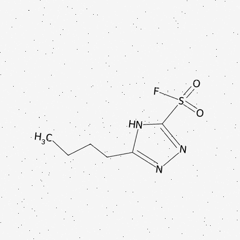 CCCCc1nnc(S(=O)(=O)F)[nH]1